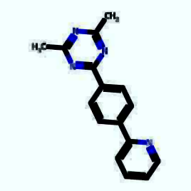 Cc1nc(C)nc(-c2ccc(-c3ccccn3)cc2)n1